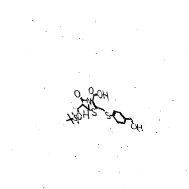 C[C@@H](O[Si](C)(C)C(C)(C)C)[C@H]1C(=O)N2C(C(=O)O)=C(CSc3ccc(CO)cc3)S[C@H]12